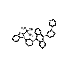 BC(B)(O)c1nc2ccccc2n1-c1cccc(-c2c3ccccc3c(-c3cccc(-c4cccnc4)c3)c3ccccc23)c1